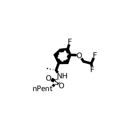 CCCCCS(=O)(=O)N[C@H](C)c1ccc(F)c(OCC(F)F)c1